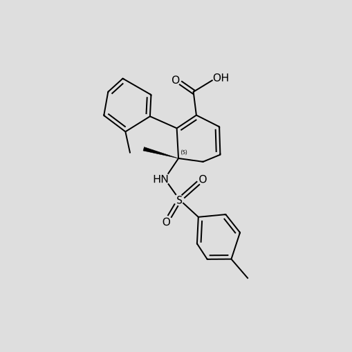 Cc1ccc(S(=O)(=O)N[C@@]2(C)CC=CC(C(=O)O)=C2c2ccccc2C)cc1